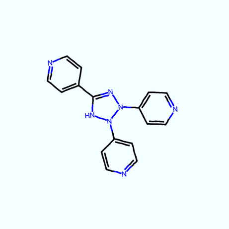 c1cc(C2=NN(c3ccncc3)N(c3ccncc3)N2)ccn1